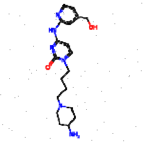 NC1CCN(CCCCn2ccc(Nc3cc(CO)ccn3)nc2=O)CC1